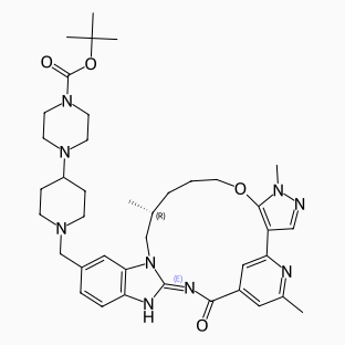 Cc1cc2cc(n1)-c1cnn(C)c1OCCC[C@@H](C)CN1/C(=N/C2=O)Nc2ccc(CN3CCC(N4CCN(C(=O)OC(C)(C)C)CC4)CC3)cc21